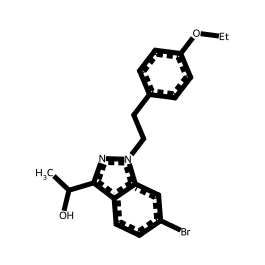 CCOc1ccc(CCn2nc(C(C)O)c3ccc(Br)cc32)cc1